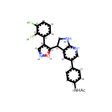 CC(=O)Nc1ccc(-c2cnc3c(c2)C(c2oncc2-c2cccc(F)c2F)CN3)cc1